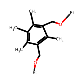 CCOCc1c(C)c(C)c(C)c(COCC)c1C